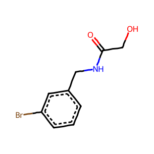 O=C(CO)NCc1cccc(Br)c1